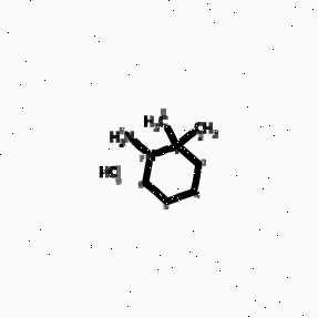 CC1(C)CCCCN1N.Cl